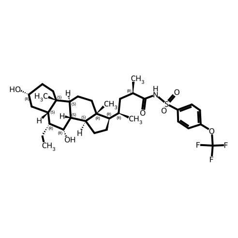 CC[C@H]1[C@@H](O)[C@@H]2[C@H](CC[C@]3(C)[C@@H]([C@H](C)C[C@@H](C)C(=O)NS(=O)(=O)c4ccc(OC(F)(F)F)cc4)CC[C@@H]23)[C@@]2(C)CC[C@@H](O)C[C@@H]12